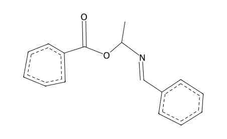 CC(N=Cc1ccccc1)OC(=O)c1ccccc1